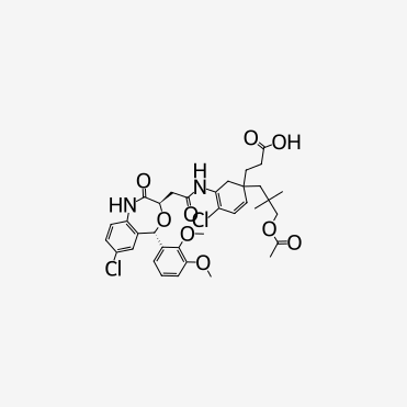 COc1cccc([C@H]2O[C@H](CC(=O)NC3=C(Cl)C=CC(CCC(=O)O)(CC(C)(C)COC(C)=O)C3)C(=O)Nc3ccc(Cl)cc32)c1OC